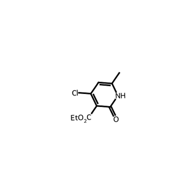 CCOC(=O)c1c(Cl)cc(C)[nH]c1=O